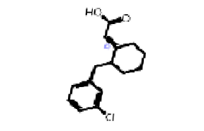 O=C(O)/C=C1\CCCCC1Cc1cccc(Cl)c1